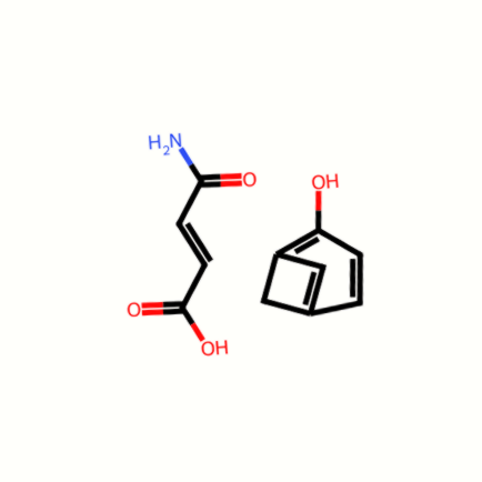 NC(=O)C=CC(=O)O.Oc1ccc2cc1C2